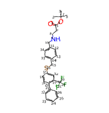 CC(C)(C)OC(=O)CCNCc1ccc(CSc2ccc(-c3ccccc3)c(C(F)(F)F)c2)cc1